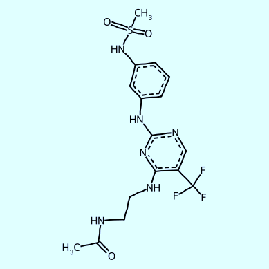 CC(=O)NCCNc1nc(Nc2cccc(NS(C)(=O)=O)c2)ncc1C(F)(F)F